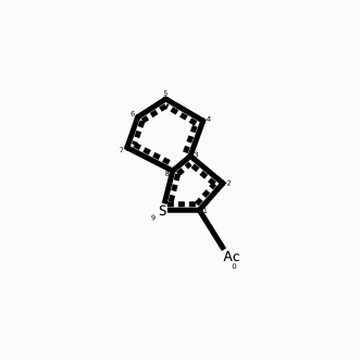 [CH2]C(=O)c1cc2ccccc2s1